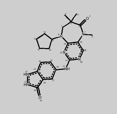 CN1C(=O)C(C)(C)CN(C2CCCC2)c2nc(Nc3ccc4[nH][nH]c(=O)c4c3)ncc21